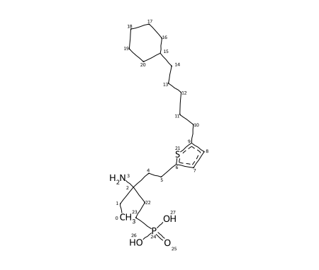 CCC(N)(CCc1ccc(CCCCCC2CCCCC2)s1)CCP(=O)(O)O